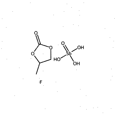 CC1COC(=O)O1.[F].[O]=[Sb]([OH])([OH])[OH]